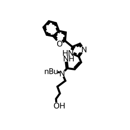 CCCCN(CCCCO)C(=N)/C=C\c1ncc(-c2cc3ccccc3o2)[nH]1